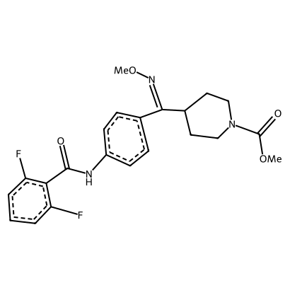 CO/N=C(\c1ccc(NC(=O)c2c(F)cccc2F)cc1)C1CCN(C(=O)OC)CC1